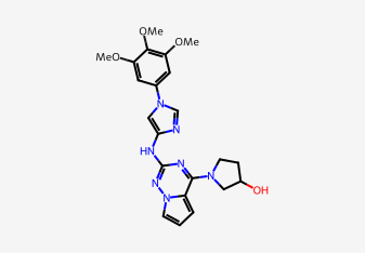 COc1cc(-n2cnc(Nc3nc(N4CCC(O)C4)c4cccn4n3)c2)cc(OC)c1OC